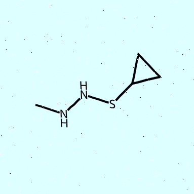 CNNSC1CC1